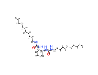 CCCCCCCCCCCNC(=O)N[C@H]1CCCC[C@@H]1NC(=O)NCCCCCCCCCCC